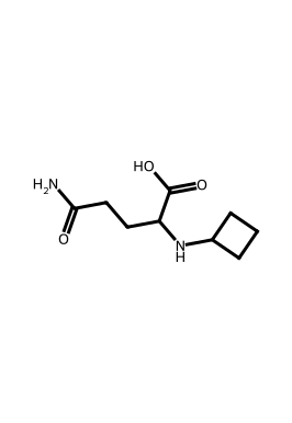 NC(=O)CCC(NC1CCC1)C(=O)O